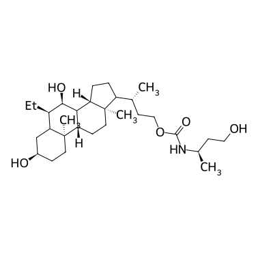 CC[C@@H]1C2C[C@H](O)CC[C@]2(C)[C@H]2CC[C@]3(C)C([C@H](C)CCOC(=O)N[C@H](C)CCO)CC[C@H]3C2[C@@H]1O